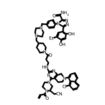 C=CC(=O)N1CCN(c2nc(NCCC(=O)N3CCC(CN4CCN(Cc5ccc(-n6c(C(N)=O)nnc6-c6cc(CC)c(O)cc6O)cc5)CC4)CC3)nc3c2CCN(c2cccc4cccc(Cl)c24)C3)CC1CC#N